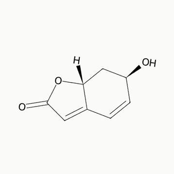 O=C1C=C2C=C[C@H](O)C[C@H]2O1